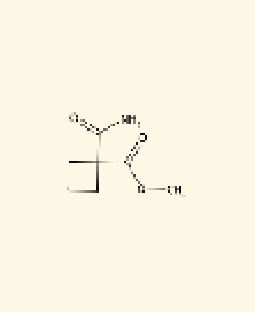 COC(=O)C1(C(N)=O)CCC1